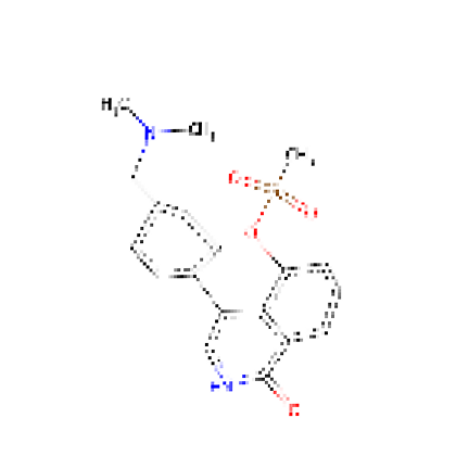 CN(C)Cc1ccc(-c2c[nH]c(=O)c3cccc(OS(C)(=O)=O)c23)cc1